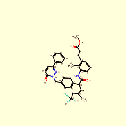 COC(=O)CCc1cccc(NC(=O)C(CC(C)CC(F)(F)F)c2ccc(Cn3nc(-c4ccccc4)ccc3=O)cc2)c1C